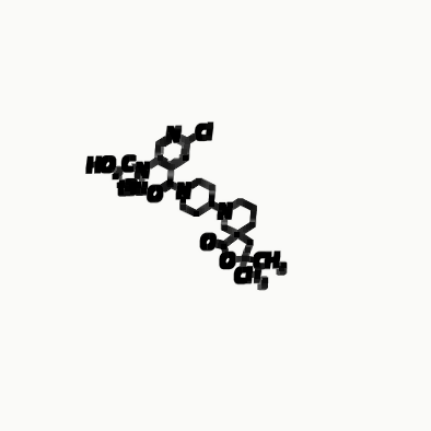 CC1(C)CC2(CCCN(C3CCN(C(=O)c4cc(Cl)ncc4N(C(=O)O)C(C)(C)C)CC3)C2)C(=O)O1